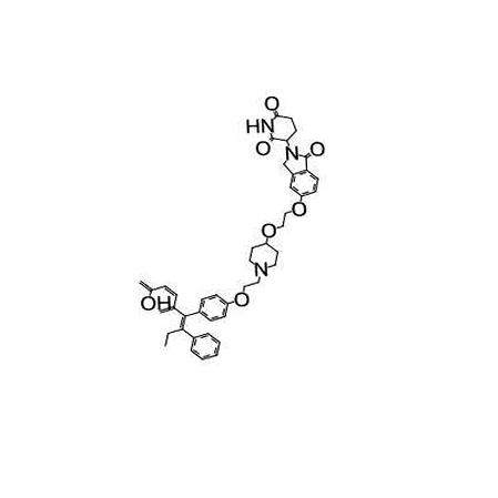 C=C(O)/C=C\C(=C)/C(=C(\CC)c1ccccc1)c1ccc(OCCN2CCC(OCCOc3ccc4c(c3)CN(C3CCC(=O)NC3=O)C4=O)CC2)cc1